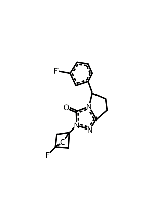 O=c1n(C23CC(F)(C2)C3)nc2n1C(c1cccc(F)c1)CC2